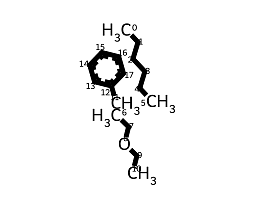 CCCCCC.CCOCC.Cc1ccccc1